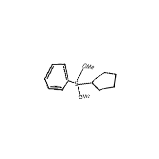 CO[Si](OC)(c1ccccc1)C1CCCC1